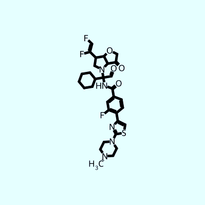 CN1CCN(c2nc(-c3ccc(C(=O)NC(C=O)(C4CCCCC4)N4CC(C(F)=CF)C5OCC(=O)C54)cc3F)cs2)CC1